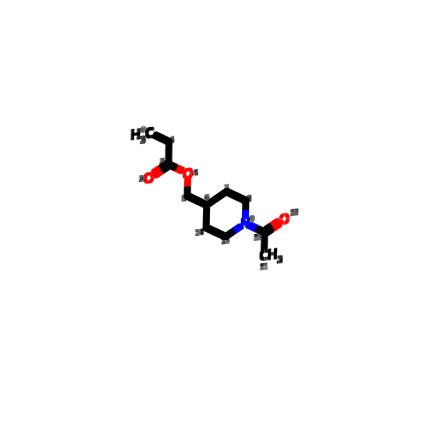 CCC(=O)OCC1CCN(C(C)=O)CC1